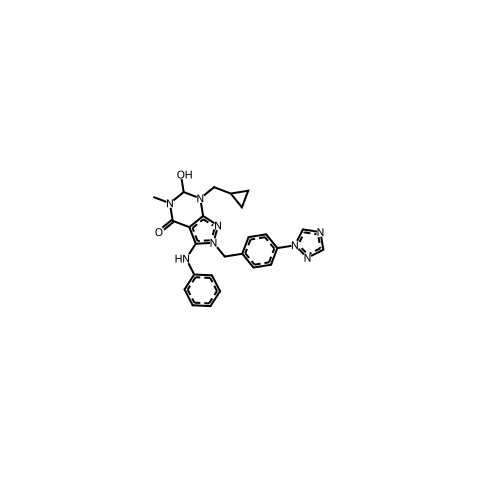 CN1C(=O)c2c(nn(Cc3ccc(-n4cncn4)cc3)c2Nc2ccccc2)N(CC2CC2)C1O